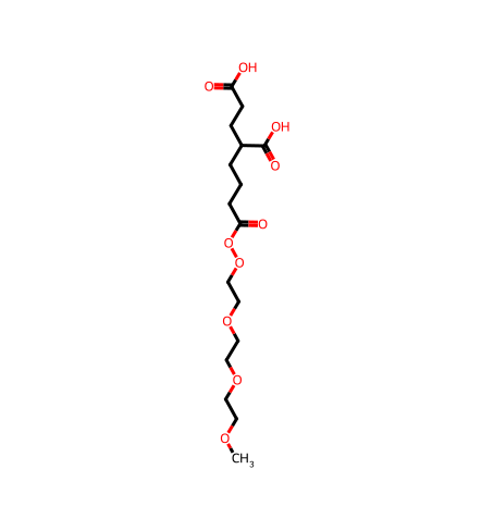 COCCOCCOCCOOC(=O)CCCC(CCC(=O)O)C(=O)O